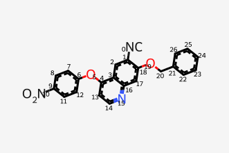 [C-]#[N+]c1cc2c(Oc3ccc([N+](=O)[O-])cc3)ccnc2cc1OCc1ccccc1